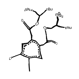 CCCCC(OC(=O)c1cc(C)c(Cl)cc1C(=O)OC(CCCC)C(C)(C)C)C(C)(C)C